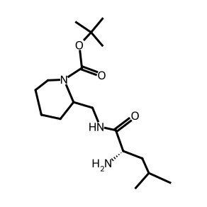 CC(C)C[C@H](N)C(=O)NCC1CCCCN1C(=O)OC(C)(C)C